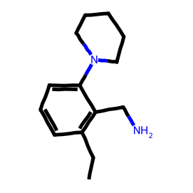 CCc1cccc(N2CCCCC2)c1CN